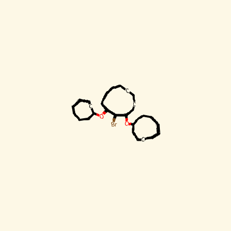 BrC1C(OC2CCCCCCCCC2)CCCCCCCCC1OC1CCCCCCC1